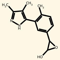 Cc1ccc(C2OC2O)cc1-c1[nH]nc(C)c1C